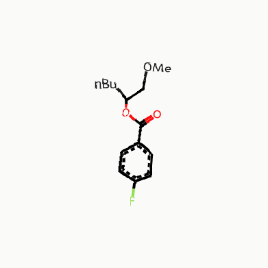 CCCCC(COC)OC(=O)c1ccc(F)cc1